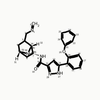 C=NCC1C[C@H]2C[C@@H](NC(=O)c3cc(-c4ccccc4Oc4ccccc4)[nH]n3)[C@@H]1N2